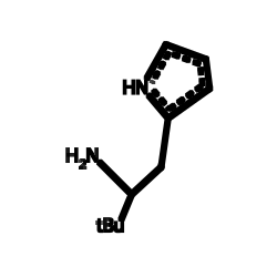 CC(C)(C)C(N)Cc1ccc[nH]1